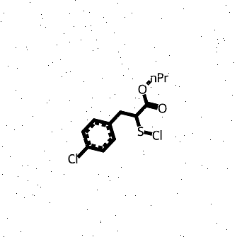 CCCOC(=O)C(Cc1ccc(Cl)cc1)SCl